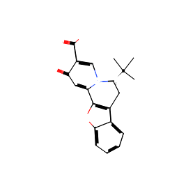 CC(C)(C)[C@H]1Cc2c(oc3ccccc23)-c2cc(=O)c(C(=O)O)cn21